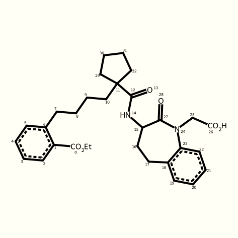 CCOC(=O)c1ccccc1CCCCC1(C(=O)NC2CCc3ccccc3N(CC(=O)O)C2=O)CCCC1